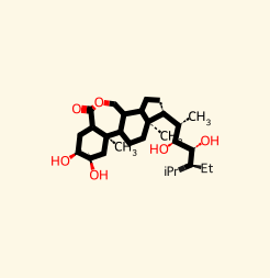 CC[C@@H](C(C)C)[C@@H](O)[C@H](O)[C@@H](C)[C@H]1CCC2C3COC(=O)C4C[C@H](O)[C@H](O)C[C@]4(C)C3CC[C@@]21C